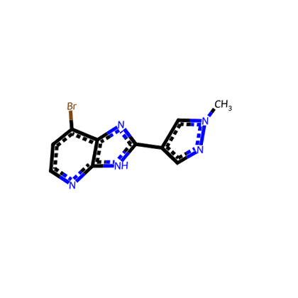 Cn1cc(-c2nc3c(Br)ccnc3[nH]2)cn1